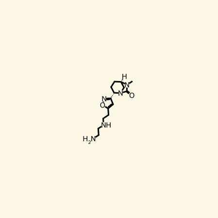 CN1C(=O)N2C[C@H]1CC[C@H]2c1cc(CCNCCN)on1